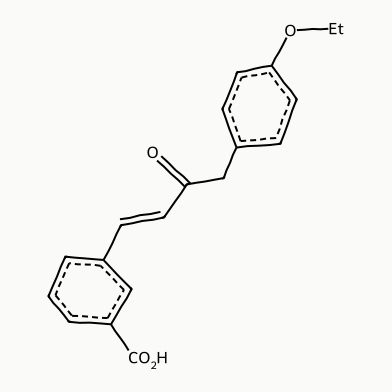 CCOc1ccc(CC(=O)/C=C/c2cccc(C(=O)O)c2)cc1